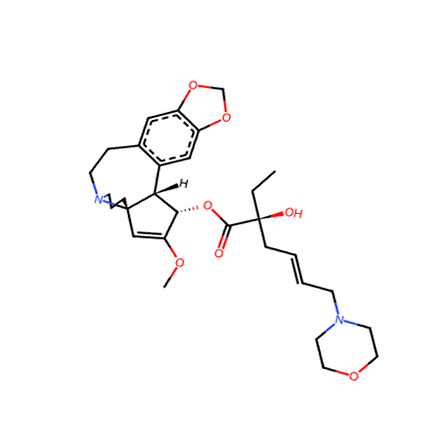 CC[C@](O)(C/C=C/CN1CCOCC1)C(=O)O[C@@H]1C(OC)=C[C@]23CCCN2CCc2cc4c(cc2[C@H]13)OCO4